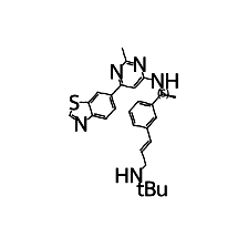 Cc1nc(N[C@@H](C)c2cccc(C=CCNC(C)(C)C)c2)cc(-c2ccc3ncsc3c2)n1